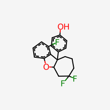 Oc1ccc(C23CCCC(F)(F)CC2Oc2cccc(F)c23)cc1